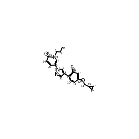 CCCn1cc(-n2cc(-c3ccc(OCC4CC4)cc3F)cn2)ccc1=O